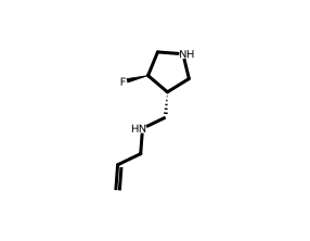 C=CCNC[C@H]1CNC[C@@H]1F